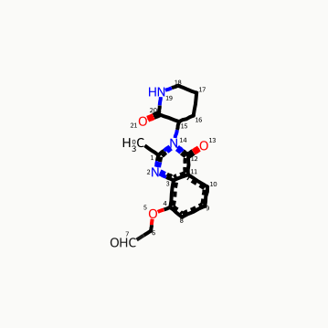 Cc1nc2c(OCC=O)cccc2c(=O)n1C1CCCNC1=O